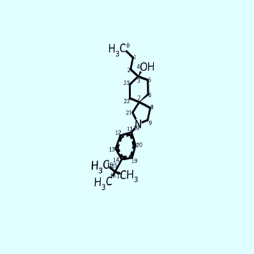 CCC[C@]1(O)CC[C@]2(CCN(c3ccc(C(C)(C)C)cc3)C2)CC1